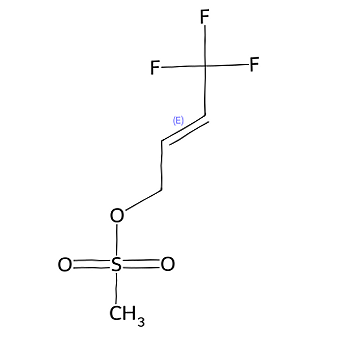 CS(=O)(=O)OC/C=C/C(F)(F)F